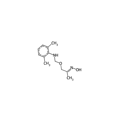 CC(COCNc1c(C)cccc1C)=NO